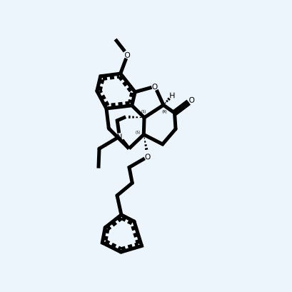 CCN1CC[C@]23c4c5ccc(OC)c4O[C@H]2C(=O)CC[C@@]3(OCCCc2ccccc2)C1C5